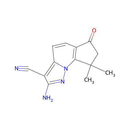 CC1(C)CC(=O)c2ccc3c(C#N)c(N)nn3c21